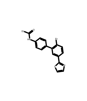 CCC(=O)Nc1ccc(-c2cc(-c3nccs3)ccc2CC)cc1